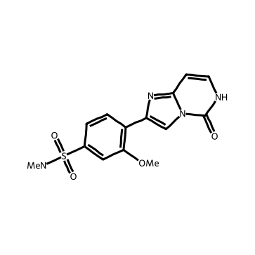 CNS(=O)(=O)c1ccc(-c2cn3c(=O)[nH]ccc3n2)c(OC)c1